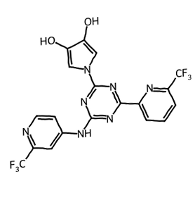 Oc1cn(-c2nc(Nc3ccnc(C(F)(F)F)c3)nc(-c3cccc(C(F)(F)F)n3)n2)cc1O